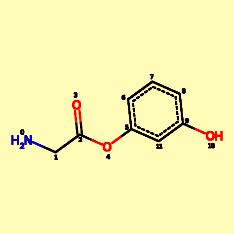 NCC(=O)Oc1cccc(O)c1